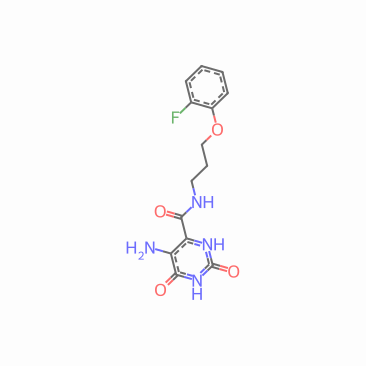 Nc1c(C(=O)NCCCOc2ccccc2F)[nH]c(=O)[nH]c1=O